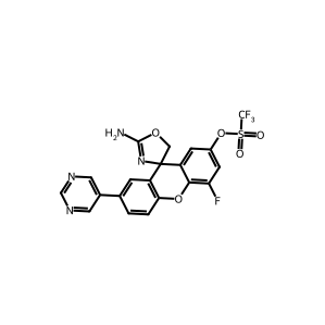 NC1=NC2(CO1)c1cc(-c3cncnc3)ccc1Oc1c(F)cc(OS(=O)(=O)C(F)(F)F)cc12